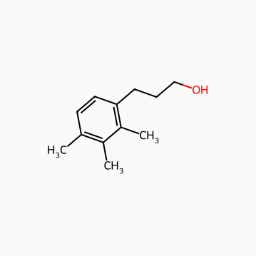 Cc1ccc(CCCO)c(C)c1C